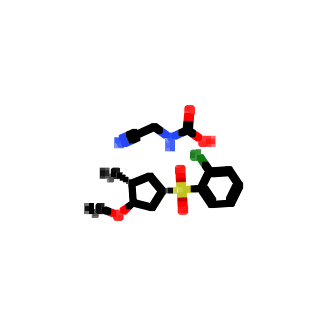 CO[C@@H]1C[C@@H](S(=O)(=O)c2ccccc2Cl)C[C@H]1C.N#CCNC(=O)O